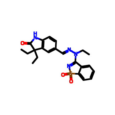 CCN(/N=C/c1ccc2c(c1)C(CC)(CC)C(=O)N2)C1=NS(=O)(=O)c2ccccc21